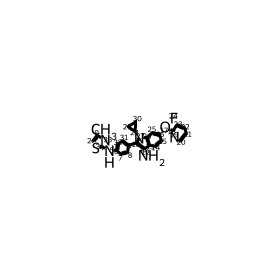 Cc1csc(Nc2ccc(-c3c(N)c4ccc(Oc5ncccc5F)cc4n3C3CC3)cc2)n1